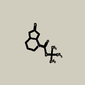 CC(C)(C)OC(=O)N1CCCC2CC(=O)CC21